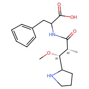 CO[C@@H](C1CCCN1)[C@@H](C)C(=O)NC(Cc1ccccc1)C(=O)O